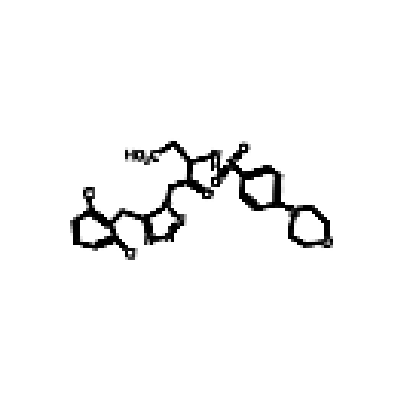 O=C(O)CC(NS(=O)(=O)c1ccc(N2CCOCC2)cc1)C(=O)Cn1nnnc1Cc1c(Cl)cccc1Cl